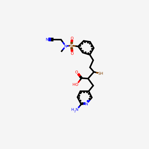 CN(CC#N)S(=O)(=O)c1cccc(CCC(S)C(Cc2ccc(N)nc2)C(=O)O)c1